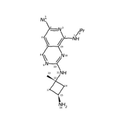 CC(C)Nc1nc(C#N)cc2cnc(N[C@]3(C)C[C@@H](N)C3)nc12